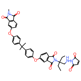 CCC(CC)(CNN1C(=O)C=CC1=O)N1C(=O)c2ccc(Oc3ccc(C(C)(C)c4ccc(Oc5ccc6c(c5)C(=O)N(C)C6=O)cc4)cc3)cc2C1=O